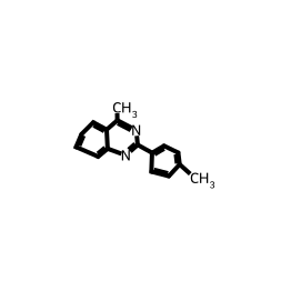 Cc1ccc(-c2nc(C)c3ccccc3n2)cc1